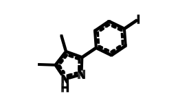 Cc1[nH]nc(-c2ccc(I)cc2)c1C